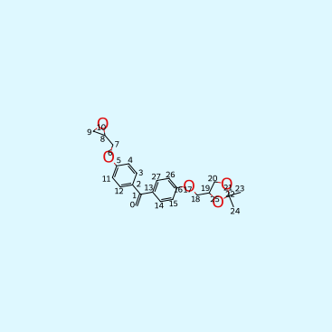 C=C(c1ccc(OCC2CO2)cc1)c1ccc(OCC2COC(C)(C)O2)cc1